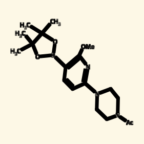 COc1nc(N2CCN(C(C)=O)CC2)ccc1B1OC(C)(C)C(C)(C)O1